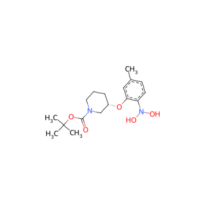 Cc1ccc(N(O)O)c(O[C@H]2CCCN(C(=O)OC(C)(C)C)C2)c1